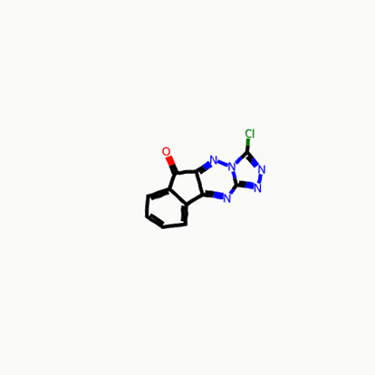 O=C1c2ccccc2-c2nc3nnc(Cl)n3nc21